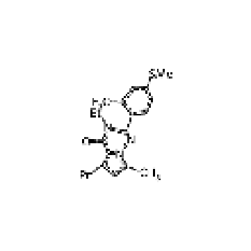 CCn1c(-c2ccc(SC)cc2C(F)(F)F)nn2c(C)cc(C(C)C)c2c1=O